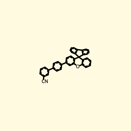 N#Cc1cccc(-c2ccc(-c3ccc4c(c3)Oc3ccccc3C43c4ccccc4-c4ccccc43)cc2)c1